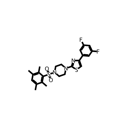 Cc1cc(C)c(C)c(S(=O)(=O)N2CCN(c3nc(-c4cc(F)cc(F)c4)cs3)CC2)c1C